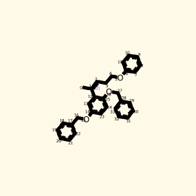 C/C(=C/CCOc1ccccc1)c1cc(OCc2ccccc2)ccc1OCc1ccccc1